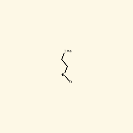 [CH2]CNCCOC